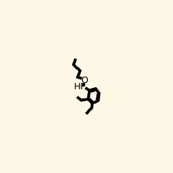 CCCCOPc1cccc(CC)c1CC